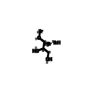 Br.Br.OCC(O)COBr